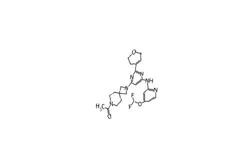 CC(=O)N1CCC2(CC1)CN(c1cc(Nc3cc(OC(F)F)ccn3)nc(C3=CCOCC3)n1)C2